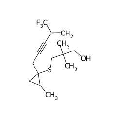 C=C(C#CCC1(SCC(C)(C)CO)CC1C)C(F)(F)F